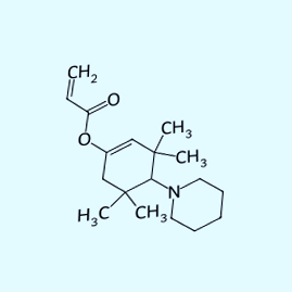 C=CC(=O)OC1=CC(C)(C)C(N2CCCCC2)C(C)(C)C1